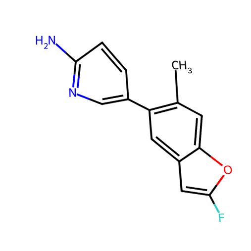 Cc1cc2oc(F)cc2cc1-c1ccc(N)nc1